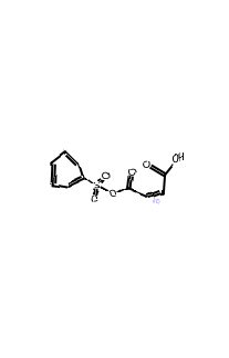 O=C(O)/C=C\C(=O)OS(=O)(=O)c1ccccc1